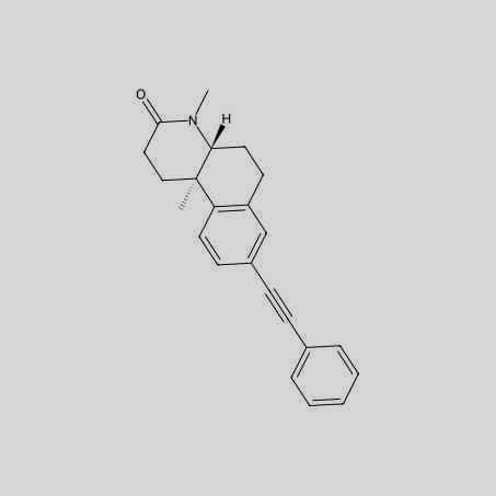 CN1C(=O)CC[C@]2(C)c3ccc(C#Cc4ccccc4)cc3CC[C@@H]12